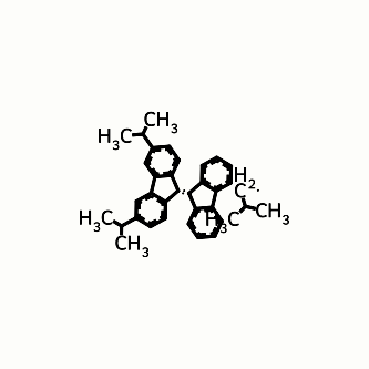 CC(C)c1ccc2c(c1)-c1cc(C(C)C)ccc1[CH]2.[CH2]C(C)C.[CH]1c2ccccc2-c2ccccc21